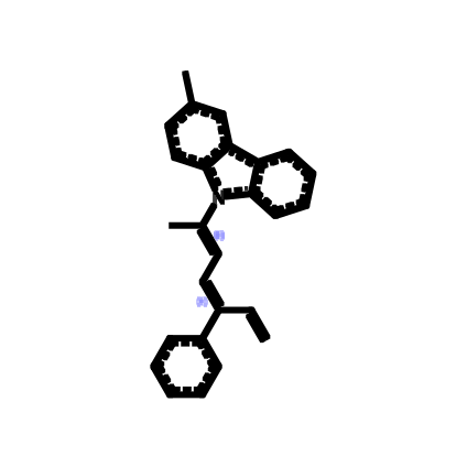 C=C/C(=C\C=C(/C)n1c2ccccc2c2cc(C)ccc21)c1ccccc1